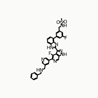 CS(=O)(=O)NCc1cc(F)cc(-c2cccc3[nH]c(-c4n[nH]c5cnc(-c6cncc(CNCc7ccccc7)c6)c(F)c45)nc23)c1